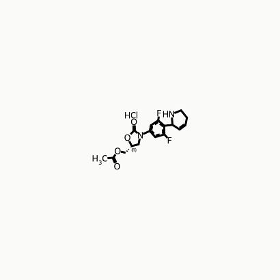 CC(=O)OC[C@H]1CN(c2cc(F)c(C3C=CCCN3)c(F)c2)C(=O)O1.Cl